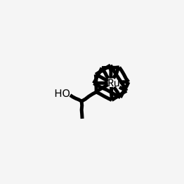 CC(O)[C]12[CH]3[CH]4[CH]5[CH]1[Ru]45321678[CH]2[CH]1[CH]6[CH]7[CH]28